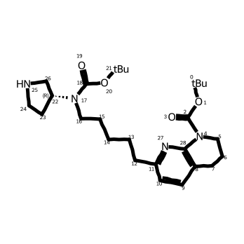 CC(C)(C)OC(=O)N1CCCc2ccc(CCCCCN(C(=O)OC(C)(C)C)[C@@H]3CCNC3)nc21